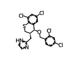 Clc1ccc(CO[C@@H]2c3cc(Cl)cc(Cl)c3SC[C@@H]2Cc2ncc[nH]2)c(Cl)c1